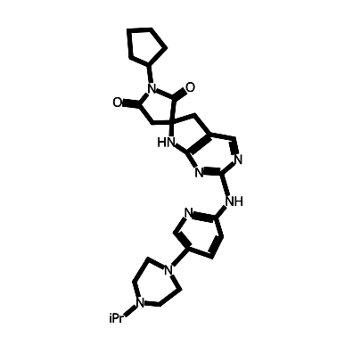 CC(C)N1CCN(c2ccc(Nc3ncc4c(n3)NC3(CC(=O)N(C5CCCC5)C3=O)C4)nc2)CC1